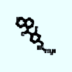 O=C(O)NCc1ccc(C(=O)c2cccc3cnccc23)c(F)c1